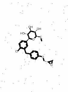 CS[C@H]1O[C@@H](c2ccc(Cl)c(Cc3ccc(OC[C@@H]4CO4)cc3)c2)[C@H](O)[C@@H](O)[C@@H]1O